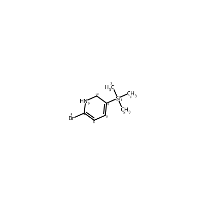 C[Si](C)(C)C1=CC=C(Br)NC1